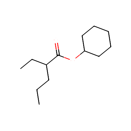 CCCC(CC)C(=O)OC1CCCCC1